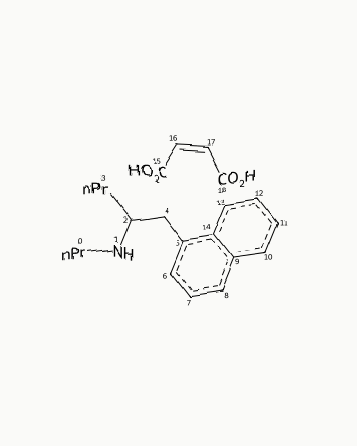 CCCNC(CCC)Cc1cccc2ccccc12.O=C(O)/C=C\C(=O)O